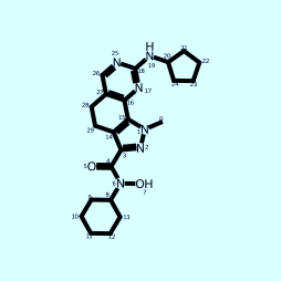 Cn1nc(C(=O)N(O)C2CCCCC2)c2c1-c1nc(NC3CCCC3)ncc1CC2